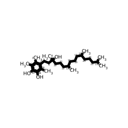 Cc1c(C)c(CCC(C)(O)CCCC(C)CCCC(C)CCCC(C)C)c(C)c(O)c1O